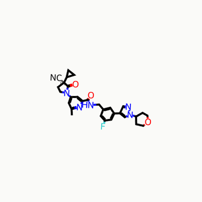 Cc1cc(N2CC[C@@](C#N)(C3CC3)C2=O)cc(C(=O)NCc2cc(F)cc(-c3cnn(C4CCOCC4)c3)c2)n1